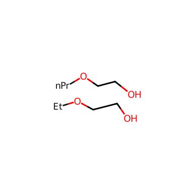 CCCOCCO.CCOCCO